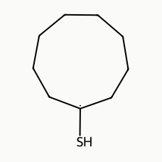 S[C]1CCCCCCCC1